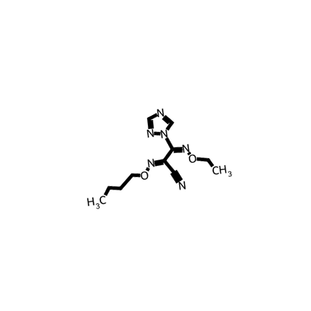 CCCCON=C(C#N)C(=NOCC)n1cncn1